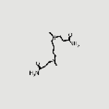 CN(CCCCN(C)CCC(N)=O)CCC(N)=O